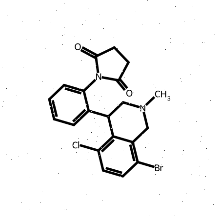 CN1Cc2c(Br)ccc(Cl)c2C(c2ccccc2N2C(=O)CCC2=O)C1